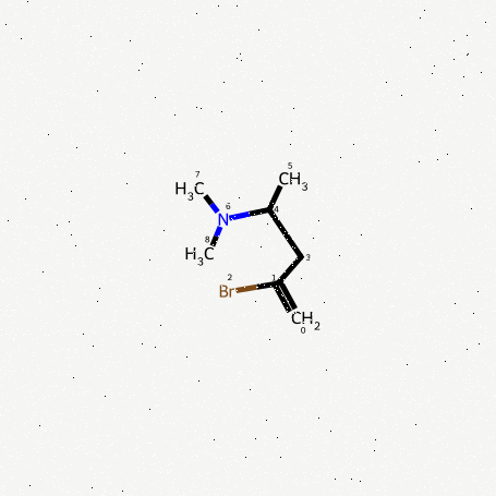 C=C(Br)CC(C)N(C)C